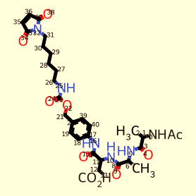 CC(=O)NC(C)C(=O)NC(C)C(=O)NC(CC(=O)O)C(=O)Nc1ccc(COC(=O)NCCCCCCN2C(=O)C=CC2=O)cc1